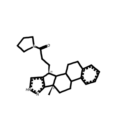 C[C@]12CCC3c4ccccc4CCC3C1[C@H](CCC(=O)N1CCCC1)c1c[nH]nc12